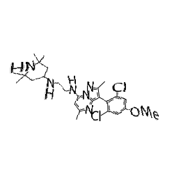 COc1cc(Cl)c(-c2c(C)nn3c(NCCNC4CC(C)(C)NC(C)(C)C4)cc(C)nc23)c(Cl)c1